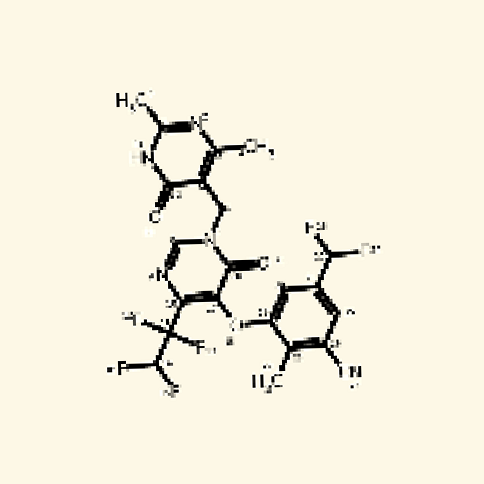 Cc1nc(C)c(Cn2cnc(C(F)(F)C(F)F)c(Oc3cc(C(F)F)cc(C#N)c3C)c2=O)c(=O)[nH]1